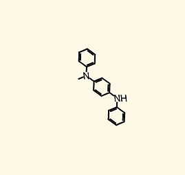 CN(c1ccccc1)c1ccc(Nc2ccccc2)cc1